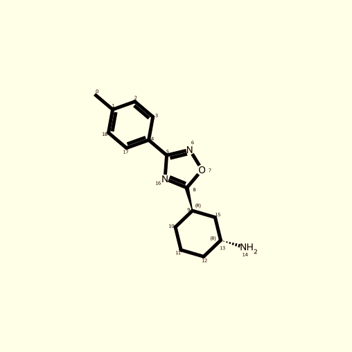 Cc1ccc(-c2noc([C@@H]3CCC[C@@H](N)C3)n2)cc1